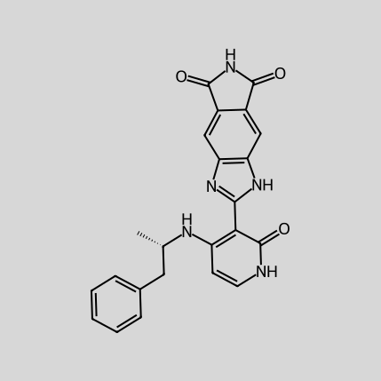 C[C@@H](Cc1ccccc1)Nc1cc[nH]c(=O)c1-c1nc2cc3c(cc2[nH]1)C(=O)NC3=O